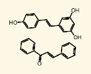 O=C(C=Cc1ccccc1)c1ccccc1.Oc1ccc(C=Cc2cc(O)cc(O)c2)cc1